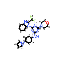 FC(F)c1nc2ccccc2n1-c1nc(Nc2ccc(-n3cccc3)cc2)nc(N2CCOCC2)n1